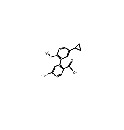 COc1ccc(C2CC2)cc1-c1cc(C)ncc1C(=O)O